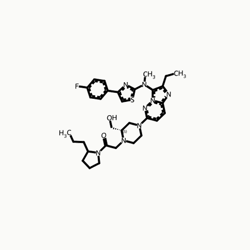 CCCC1CCCN1C(=O)CN1CCN(c2ccc3nc(CC)c(N(C)c4nc(-c5ccc(F)cc5)cs4)n3n2)C[C@H]1CO